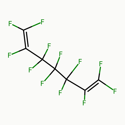 FC(F)=C(F)C(F)(F)C(F)(F)C(F)(F)C(F)=C(F)F